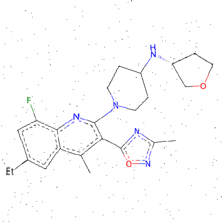 CCc1cc(F)c2nc(N3CCC(N[C@@H]4CCOC4)CC3)c(-c3nc(C)no3)c(C)c2c1